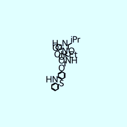 CC[C@H](NC(=O)COc1ccc2c(c1)Nc1ccccc1S2)C(=O)N(C(=O)[C@@H](N)CC(C)C)[C@H]1CCOC1O